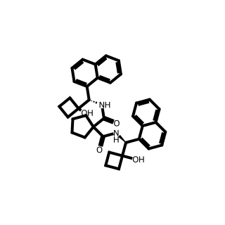 O=C(N[C@@H](c1cccc2ccccc12)C1(O)CCC1)C1(C(=O)N[C@@H](c2cccc3ccccc23)C2(O)CCC2)CCCC1